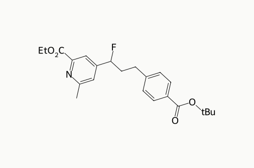 CCOC(=O)c1cc(C(F)CCc2ccc(C(=O)OC(C)(C)C)cc2)cc(C)n1